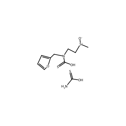 C[S+]([O-])CCN(Cc1ccco1)C(O)=S.NC(O)=S